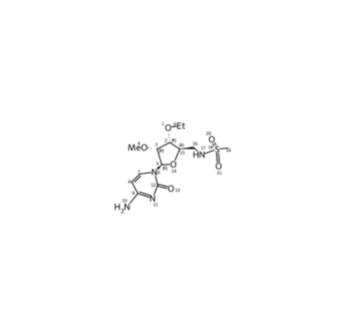 CCO[C@H]1[C@@H](OC)[C@H](n2ccc(N)nc2=O)O[C@@H]1CNS(C)(=O)=O